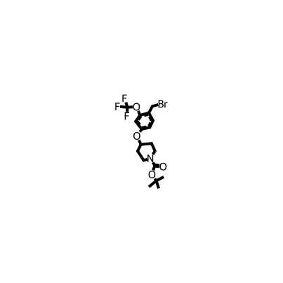 CC(C)(C)OC(=O)N1CCC(Oc2ccc(CBr)c(OC(F)(F)F)c2)CC1